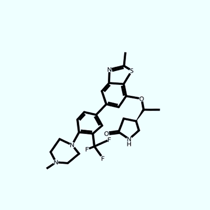 Cc1nc2cc(-c3ccc(N4CCN(C)CC4)c(C(F)(F)F)c3)cc(OC(C)[C@H]3CNC(=O)C3)c2s1